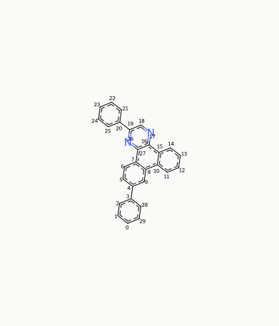 c1ccc(-c2ccc3c(c2)c2ccccc2c2ncc(-c4ccccc4)nc32)cc1